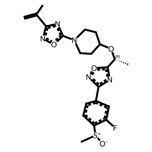 C=C(C)c1noc(N2CCC(O[C@H](C)c3nc(-c4ccc([S+](C)[O-])c(F)c4)no3)CC2)n1